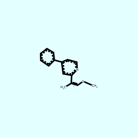 CS/C=C(/C)c1cc(-c2ccccc2)ccn1